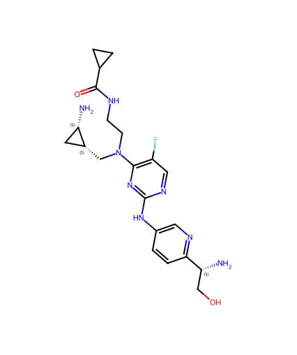 N[C@H](CO)c1ccc(Nc2ncc(F)c(N(CCNC(=O)C3CC3)C[C@@H]3C[C@@H]3N)n2)cn1